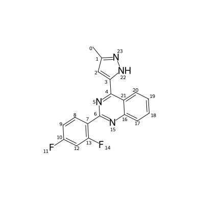 Cc1cc(-c2nc(-c3ccc(F)cc3F)nc3ccccc23)[nH]n1